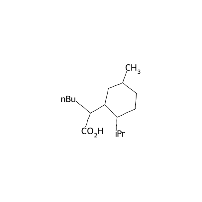 CCCCC(C(=O)O)C1CC(C)CCC1C(C)C